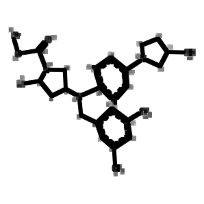 CCC1CC(N(Cc2cc(C(F)(F)F)cc(C(F)(F)F)c2)c2ncc(N3CCC(O)C3)cn2)CN1C(=O)OC(C)C